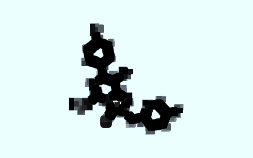 Nc1nc(-c2ccc(F)cc2)c(Br)c2nn(Cc3ccc(F)cn3)c(=O)n12